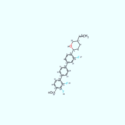 C=CC1CCC(c2ccc(-c3ccc(-c4ccc(CCCCCCCC)c(F)c4F)cc3)cc2F)OC1